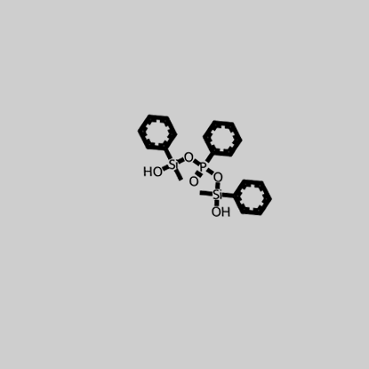 C[Si](O)(OP(=O)(O[Si](C)(O)c1ccccc1)c1ccccc1)c1ccccc1